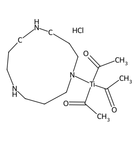 C[C](=O)[Ti]([C](C)=O)([C](C)=O)[N]1CCCNCCCNCCC1.Cl